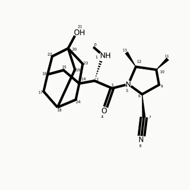 CN[C@H](C(=O)N1[C@H](C#N)C[C@H](C)[C@@H]1C)C12CC3CC(CC(O)(C3)C1)C2